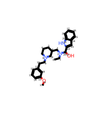 CCN(CC1CCCN(CCc2cccc(OC)c2)C1)C(O)c1cc2ccccc2[nH]1